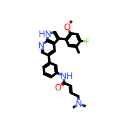 COc1cc(F)c(C)cc1-c1c[nH]c2ncc(-c3cccc(NC(=O)C=CCN(C)C)c3)cc12